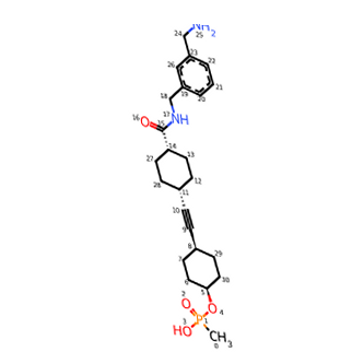 CP(=O)(O)O[C@H]1CC[C@@H](C#C[C@H]2CC[C@@H](C(=O)NCc3cccc(CN)c3)CC2)CC1